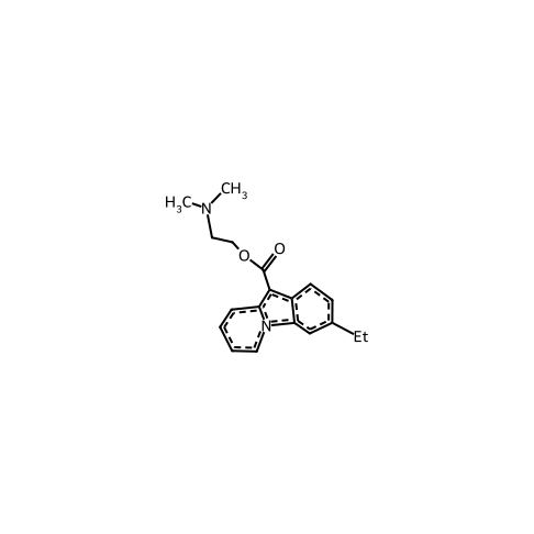 CCc1ccc2c(C(=O)OCCN(C)C)c3ccccn3c2c1